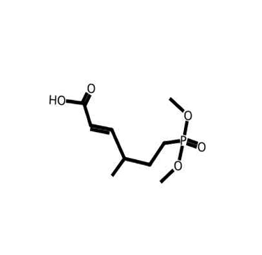 COP(=O)(CCC(C)C=CC(=O)O)OC